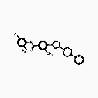 Cc1cc(C(=O)Nc2cc(Cl)ccc2N)ccc1C1CCC(N2CCC(c3ccccc3)CC2)C1